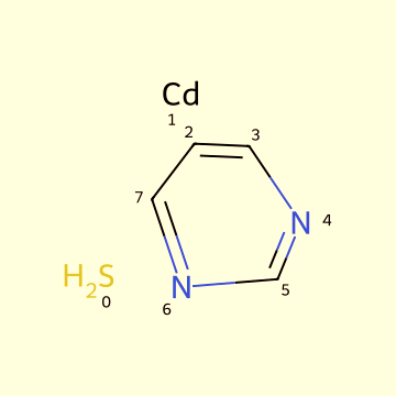 S.[Cd].c1cncnc1